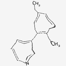 Cc1ccc(C)c(-c2c[c]cnc2)c1